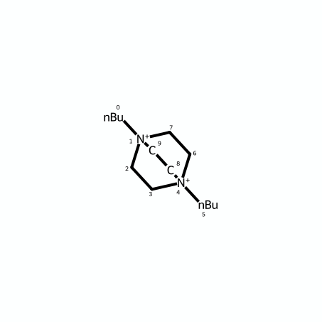 CCCC[N+]12CC[N+](CCCC)(CC1)CC2